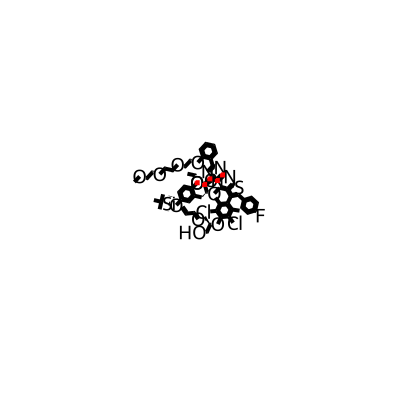 C=CCOC[C@H](CO)Oc1c(Cl)c(C)c(-c2c(-c3ccc(F)cc3)sc3ncnc(O[C@H](Cc4cc(O[Si](C)(C)C(C)(C)C)ccc4OCc4ccnc(-c5ccccc5OCCOCCOCCOC)n4)C(=O)OCC)c23)c(C)c1Cl